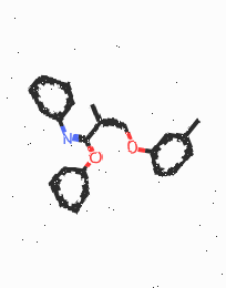 CC(=COc1cccc(C)c1)/C(=N\c1ccccc1)Oc1ccccc1